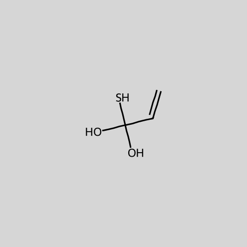 C=CC(O)(O)S